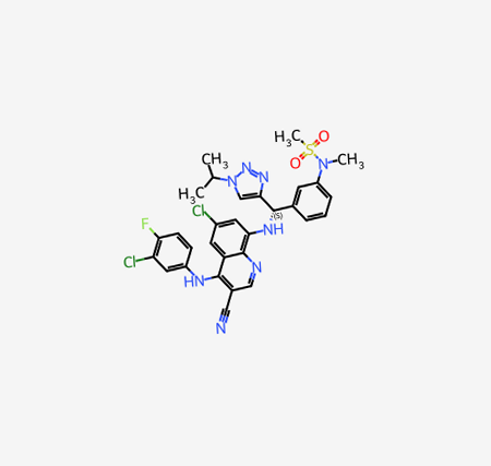 CC(C)n1cc([C@@H](Nc2cc(Cl)cc3c(Nc4ccc(F)c(Cl)c4)c(C#N)cnc23)c2cccc(N(C)S(C)(=O)=O)c2)nn1